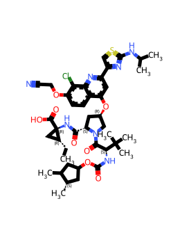 CC[C@@H]1C[C@]1(NC(=O)[C@@H]1C[C@@H](Oc2cc(-c3csc(NC(C)C)n3)nc3c(Cl)c(OCC#N)ccc23)CN1C(=O)[C@@H](NC(=O)OC1CC(C)[C@@H](C)C1)C(C)(C)C)C(=O)O